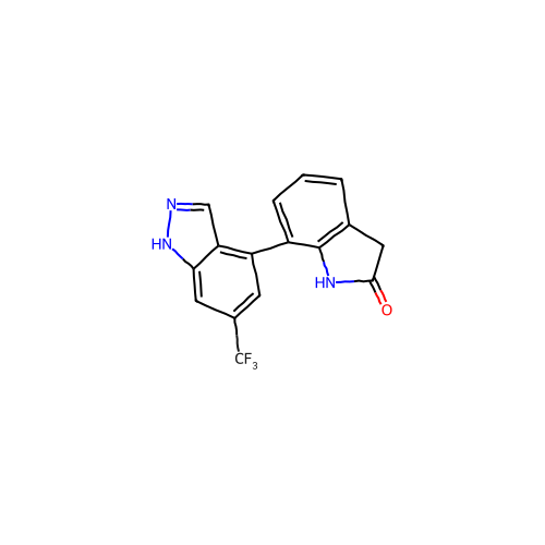 O=C1Cc2cccc(-c3cc(C(F)(F)F)cc4[nH]ncc34)c2N1